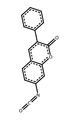 O=C=Nc1ccc2cc(-c3ccccc3)c(=O)oc2c1